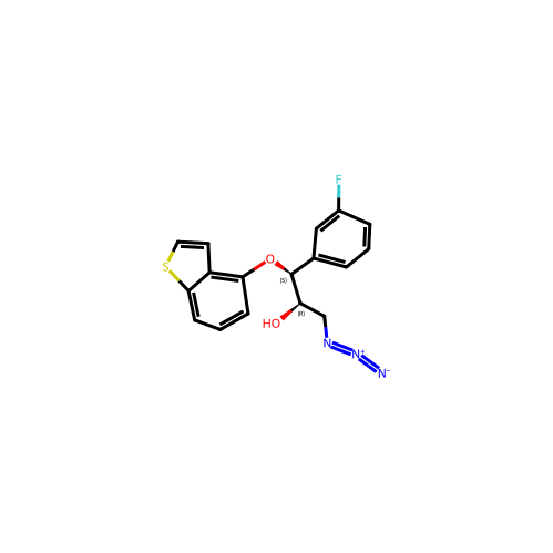 [N-]=[N+]=NC[C@@H](O)[C@@H](Oc1cccc2sccc12)c1cccc(F)c1